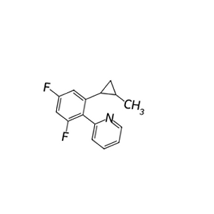 CC1CC1c1cc(F)cc(F)c1-c1ccccn1